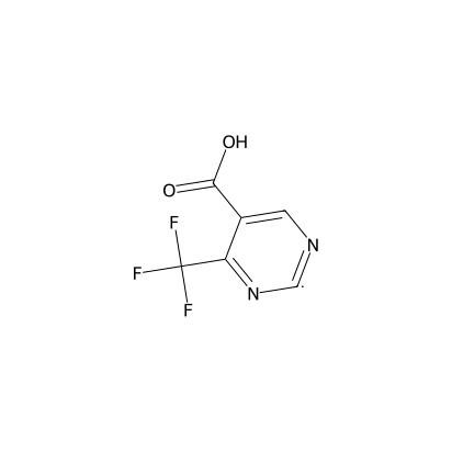 O=C(O)c1cn[c]nc1C(F)(F)F